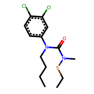 CCCCN(C(=O)N(C)SCC)c1ccc(Cl)c(Cl)c1